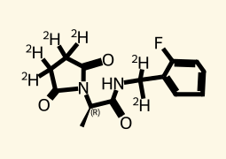 [2H]C([2H])(NC(=O)[C@@H](C)N1C(=O)C([2H])([2H])C([2H])([2H])C1=O)c1ccccc1F